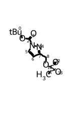 CC(C)(C)OC(=O)n1ccc(COS(C)(=O)=O)n1